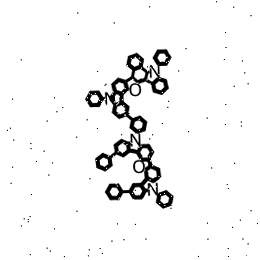 c1ccc(-c2ccc3c(c2)c2c4oc5c(ccc6c5c5cc(-c7ccccc7)ccc5n6-c5cccc(-c6ccc7c(c6)c6c8c(ccc6n7-c6ccccc6)C6C(=C7c9ccccc9N(c9ccccc9)C7c7ccccc76)O8)c5)c4ccc2n3-c2ccccc2)cc1